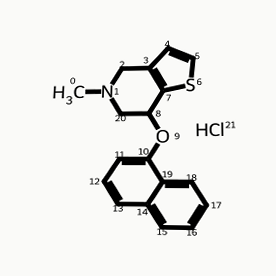 CN1Cc2ccsc2C(Oc2cccc3ccccc23)C1.Cl